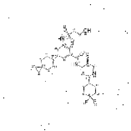 O=C(Nc1cn(C2CCC(F)(F)CC2)ncc1=S)c1cc(NS(=O)(=O)CCO)cc(N2CCC3(CC2)CC3)c1